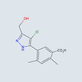 Cc1cc(C)c(-c2[nH]nc(CO)c2Cl)cc1C(=O)O